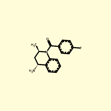 C[C@@H]1C[C@@H](N)c2ccccc2N1C(=O)c1ccc(F)cc1